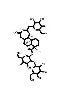 C=C1CC2CCC3[C@](C)(C(=O)OC4OC(CO)C(O)C(O)C4OC4OC(CO)C(O)C(O)C4O)CCC[C@@]3(C)[C@@H]2CC(CC2OC(CO)C(O)C(O)C2O)P1